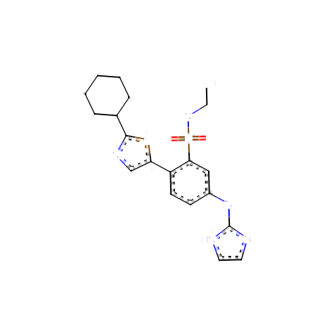 CCNS(=O)(=O)c1cc(Nc2ncc[nH]2)ccc1-c1cnc(C2CCCCC2)s1